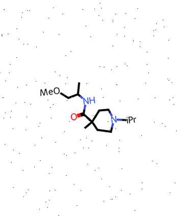 COCC(C)NC(=O)C1(C)CCN(C(C)C)CC1